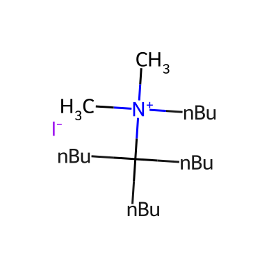 CCCCC(CCCC)(CCCC)[N+](C)(C)CCCC.[I-]